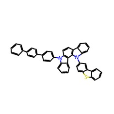 c1ccc(-c2ccc(-c3ccc(-n4c5ccccc5c5c4ccc4c6ccccc6n(-c6ccc7sc8ccccc8c7c6)c45)cc3)cc2)cc1